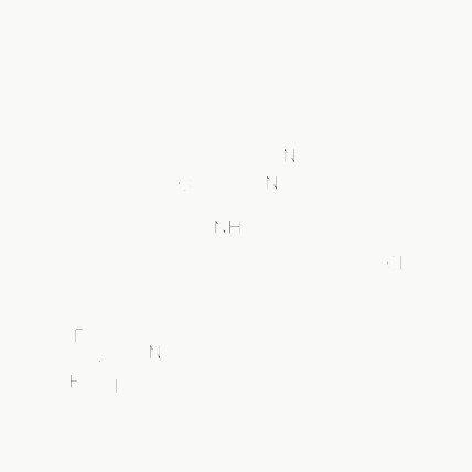 O=C(NCCc1ccc(C(F)(F)F)nc1)c1nn(Cc2ccc(Cl)cc2)c2ccccc12